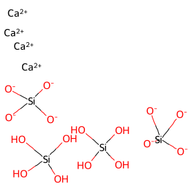 O[Si](O)(O)O.O[Si](O)(O)O.[Ca+2].[Ca+2].[Ca+2].[Ca+2].[O-][Si]([O-])([O-])[O-].[O-][Si]([O-])([O-])[O-]